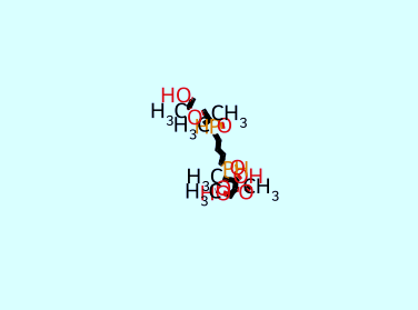 COC(CO)C(O)C(C)(OC)[PH](=O)CCCCC[PH](=O)C(C)(C)COC(C)CO